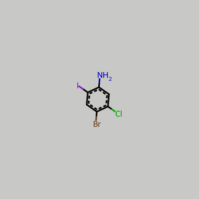 Nc1cc(Cl)c(Br)cc1I